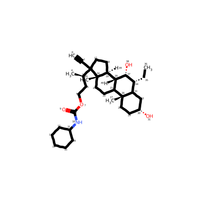 C#CC1([C@H](C)CCOC(=O)NC2CCCCC2)CC[C@H]2[C@H]3C(CC[C@@]21C)[C@@]1(C)CC[C@@H](O)CC1[C@@H](CC)[C@H]3O